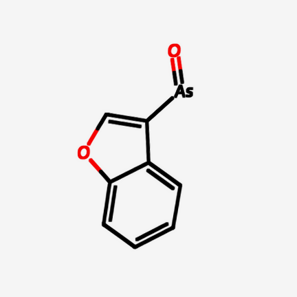 O=[As]c1coc2ccccc12